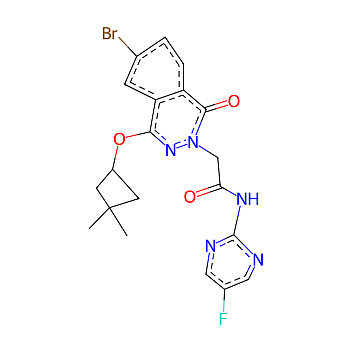 CC1(C)CC(Oc2nn(CC(=O)Nc3ncc(F)cn3)c(=O)c3ccc(Br)cc23)C1